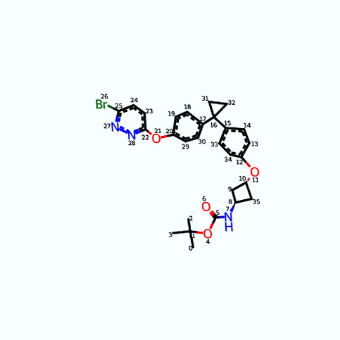 CC(C)(C)OC(=O)N[C@H]1C[C@H](Oc2ccc(C3(c4ccc(Oc5ccc(Br)nn5)cc4)CC3)cc2)C1